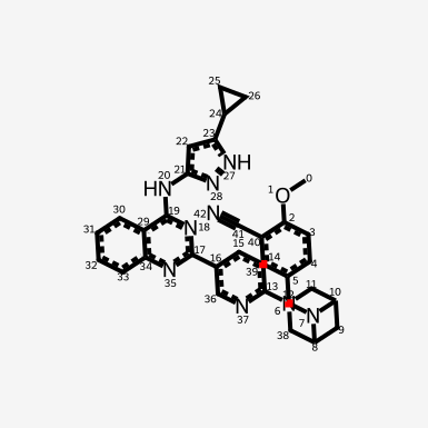 COc1ccc(CN2C3CC2CN(c2ccc(-c4nc(Nc5cc(C6CC6)[nH]n5)c5ccccc5n4)cn2)C3)cc1C#N